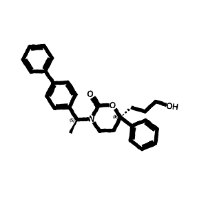 C[C@@H](c1ccc(-c2ccccc2)cc1)N1CC[C@](CCCO)(c2ccccc2)OC1=O